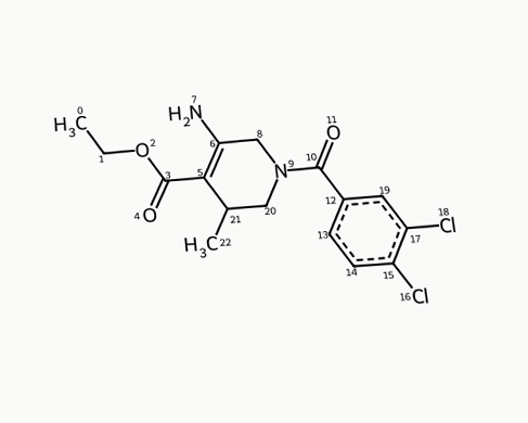 CCOC(=O)C1=C(N)CN(C(=O)c2ccc(Cl)c(Cl)c2)CC1C